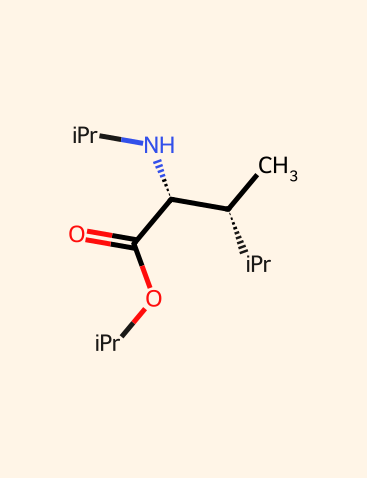 CC(C)N[C@@H](C(=O)OC(C)C)[C@H](C)C(C)C